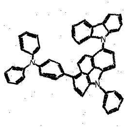 c1ccc(N(c2ccccc2)c2ccc(-c3ccc4c5c3ccc3c(-n6c7ccccc7c7ccccc76)ccc(c35)n4-c3ccccc3)cc2)cc1